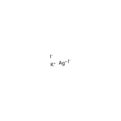 [Ag+].[I-].[I-].[K+]